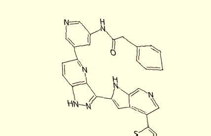 O=C(Cc1ccccc1)Nc1cncc(-c2ccc3[nH]nc(-c4cc5c(-c6cccs6)cncc5[nH]4)c3n2)c1